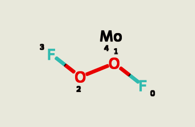 FOOF.[Mo]